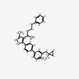 Cc1noc(-c2ccc(-c3cccc(CC4(C(=O)O)CC4)c3)cc2)c1C(O)CCCc1ccccc1